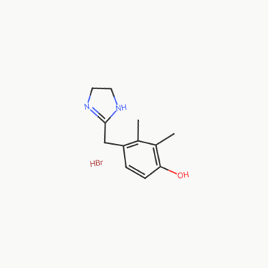 Br.Cc1c(O)ccc(CC2=NCCN2)c1C